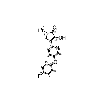 CC(C)N1CC(c2ccc(Oc3ccc(F)cc3)cn2)=C(O)C1=O